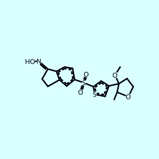 COC1(c2csc(S(=O)(=O)c3ccc4c(c3)CC/C4=N\O)c2)CCOC1C